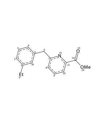 CCc1cccc(Cc2cccc(C(=O)OC)n2)c1